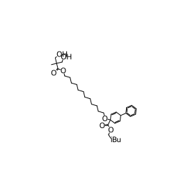 CCC(C)COC(=O)C1(OCCCCCCCCCCCCOC(=O)C(C)(CO)CO)C=CC(c2ccccc2)C=C1